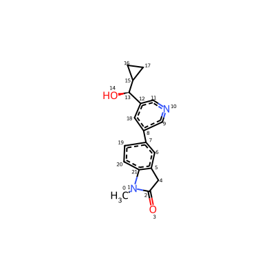 CN1C(=O)Cc2cc(-c3cncc([C@@H](O)C4CC4)c3)ccc21